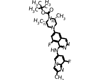 Cc1cn2cc(Nc3nncc4cc(N5C[C@@H](C)N(C(=O)OC(C)(C)C)[C@@H](C)C5)cc(F)c34)cc(F)c2n1